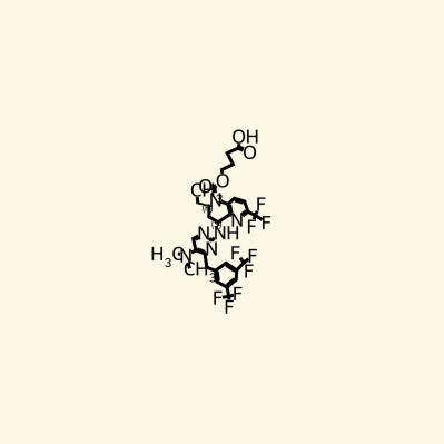 CC[C@@H]1C[C@H](Nc2ncc(N(C)C)c(Cc3cc(C(F)(F)F)cc(C(F)(F)F)c3)n2)c2nc(C(F)(F)F)ccc2N1C(=O)OCCCC(=O)O